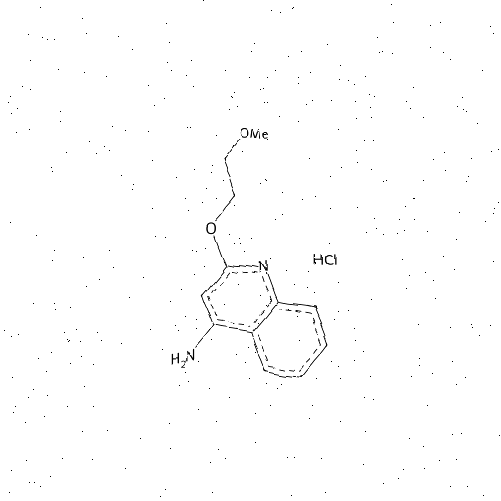 COCCOc1cc(N)c2ccccc2n1.Cl